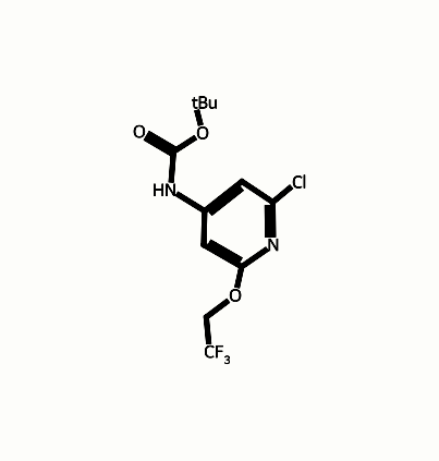 CC(C)(C)OC(=O)Nc1cc(Cl)nc(OCC(F)(F)F)c1